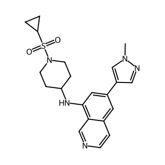 Cn1cc(-c2cc(NC3CCN(S(=O)(=O)C4CC4)CC3)c3cnccc3c2)cn1